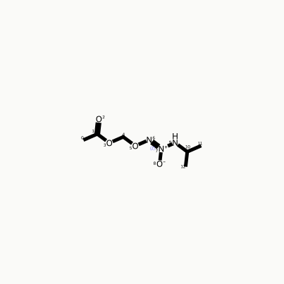 CC(=O)OCO/N=[N+](\[O-])NC(C)C